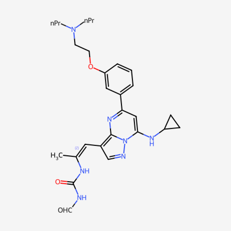 CCCN(CCC)CCOc1cccc(-c2cc(NC3CC3)n3ncc(/C=C(/C)NC(=O)NC=O)c3n2)c1